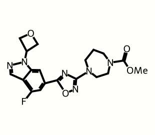 COC(=O)N1CCCN(c2noc(-c3cc(F)c4cnn(C5COC5)c4c3)n2)CC1